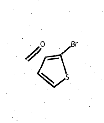 Brc1cccs1.C=O